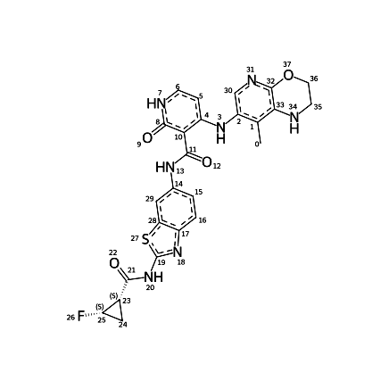 Cc1c(Nc2cc[nH]c(=O)c2C(=O)Nc2ccc3nc(NC(=O)[C@@H]4C[C@@H]4F)sc3c2)cnc2c1NCCO2